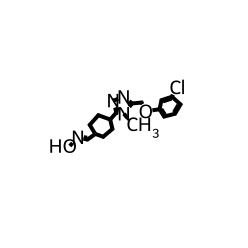 Cn1c(COc2cccc(Cl)c2)nnc1C1CCC(C=NO)CC1